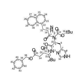 CCC(C)[C@H](NC(=O)[C@H](Cc1c[nH]cn1)N(C(=O)OC(C)(C)C)C(=O)[C@@H](N)Cc1cccc2ccccc12)[C@@H](O)CC(=O)OCc1ccccc1